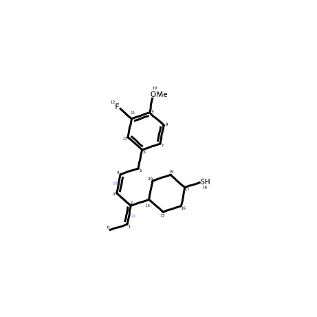 C/C=C(\C=C/Cc1ccc(OC)c(F)c1)C1CCC(S)CC1